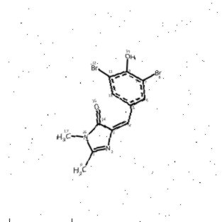 CC1=NC(=Cc2cc(Br)c(O)c(Br)c2)C(=O)N1C